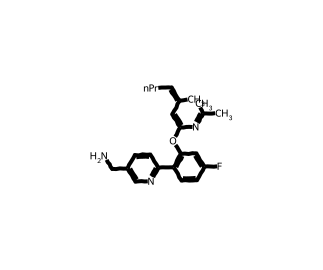 CCC/C=C(C)\C=C(/N=C(C)C)Oc1cc(F)ccc1-c1ccc(CN)cn1